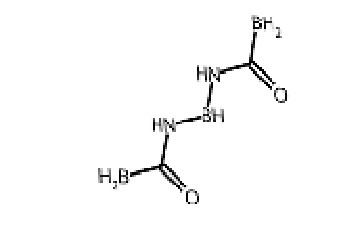 BC(=O)NBNC(B)=O